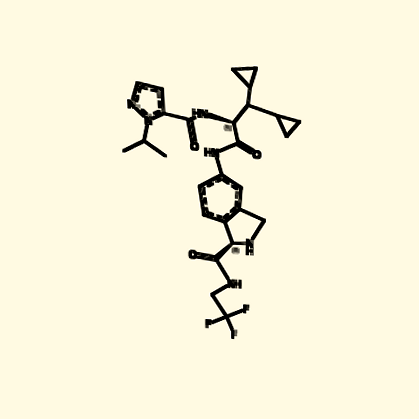 CC(C)n1nccc1C(=O)N[C@H](C(=O)Nc1ccc2c(c1)CN[C@H]2C(=O)NCC(F)(F)F)C(C1CC1)C1CC1